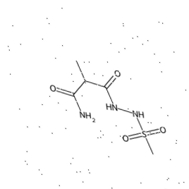 C[C](C(N)=O)C(=O)NNS(C)(=O)=O